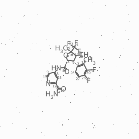 Cc1c([C@@H]2[C@@H](C(=O)Nc3ccnc(C(N)=O)c3)O[C@](C)(C(F)(F)F)[C@H]2C)ccc(F)c1F